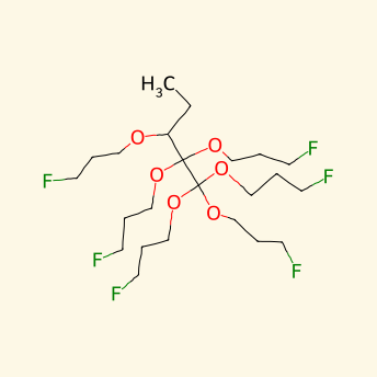 CCC(OCCCF)C(OCCCF)(OCCCF)C(OCCCF)(OCCCF)OCCCF